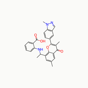 Cc1cc(C(C)Nc2ccccc2C(=O)O)c2oc(-c3ccc4c(cnn4C)c3)c(C)c(=O)c2c1